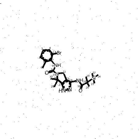 Cc1cccc(Br)c1NC(=O)N1Cc2c(NC(=O)C(C)(C)[Si](C)(C)C)n[nH]c2C1(C)C